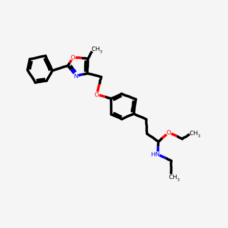 CCNC(CCc1ccc(OCc2nc(-c3ccccc3)oc2C)cc1)OCC